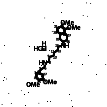 COc1ccc(CCNCCCCCCNC2CCc3c(ccc(OC)c3OC)C2)cc1OC.Cl.Cl